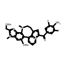 COCc1nc2c3c(c(OC)cc2n1C)-c1cccn2c(C(=O)c4cc(F)c(N)c(F)c4)cc(c12)CCN3C